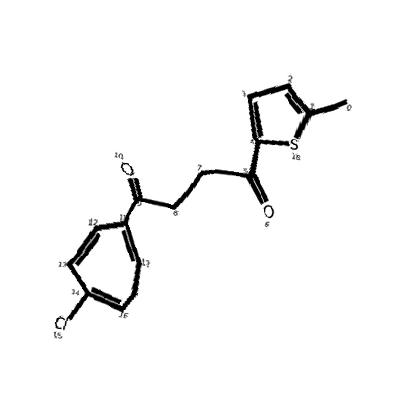 Cc1ccc(C(=O)CCC(=O)c2ccc(Cl)cc2)s1